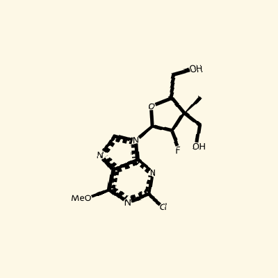 COc1nc(Cl)nc2c1ncn2C1OC(CO)[C@](C)(CO)C1F